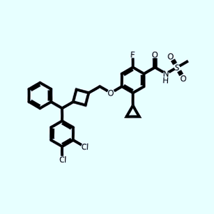 CS(=O)(=O)NC(=O)c1cc(C2CC2)c(OCC2CC(C(c3ccccc3)c3ccc(Cl)c(Cl)c3)C2)cc1F